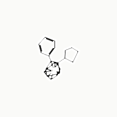 c1ccc([C]23[CH]4[CH]5[CH]6[C]2(C2CCCC2)[Fe]54632789[CH]3[CH]2[CH]7[CH]8[CH]39)cc1